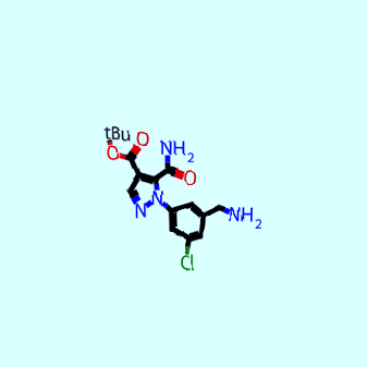 CC(C)(C)OC(=O)c1cnn(-c2cc(Cl)cc(CN)c2)c1C(N)=O